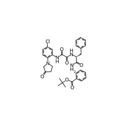 CC(C)(C)OC(=O)c1ccccc1.NC(=O)[C@H](Cc1ccccc1)NC(=O)C(=O)Nc1cc(Cl)ccc1N1CCC(=O)C1